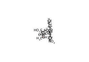 C[C@@H](O)[C@H]1C(=O)N2C(C(=O)O)=C(S[C@H]3C[C@@H](C(=O)N4CC[C@H](CN5CCCC5)C4)N(C(=O)OCc4ccc([N+](=O)[O-])cc4)C3)[C@H](C)[C@H]12